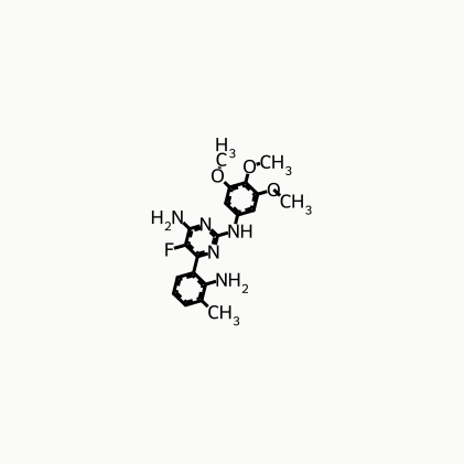 COc1cc(Nc2nc(N)c(F)c(-c3cccc(C)c3N)n2)cc(OC)c1OC